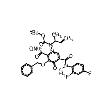 C=CC(C)N(C(=O)OC(C)(C)C)n1cc(C(=O)N(C)c2ccc(F)cc2F)c(=O)c(OCc2ccccc2)c1C(=O)OC